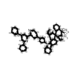 CC1(C)c2ccccc2C2(c3ccccc3-c3c2ccc2c4ccccc4n(-c4ccc(-c5ccnc(-c6cc(-c7ccccc7)cc(-c7ccccc7)n6)c5)cc4)c32)c2ccccc21